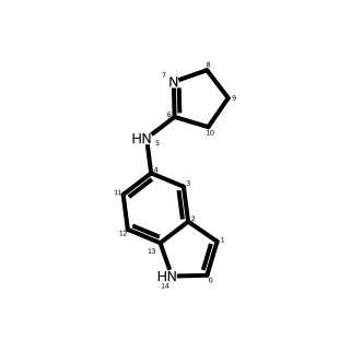 c1cc2cc(NC3=NCCC3)ccc2[nH]1